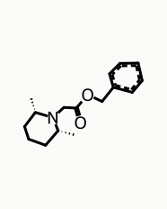 C[C@@H]1CCC[C@H](C)N1CC(=O)OCc1ccccc1